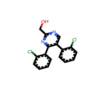 OCc1ncc(-c2ccccc2Cl)c(-c2ccccc2Cl)n1